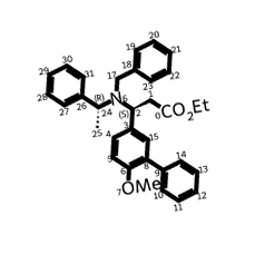 CCOC(=O)C[C@@H](c1ccc(OC)c(-c2ccccc2)c1)N(Cc1ccccc1)[C@H](C)c1ccccc1